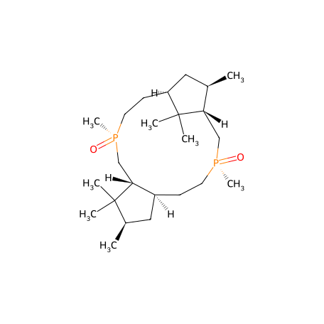 C[C@@H]1C[C@@H]2CC[P@](C)(=O)C[C@@H]3[C@@H](CC[P@](C)(=O)C[C@@H]1C2(C)C)C[C@@H](C)C3(C)C